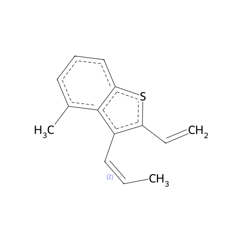 C=Cc1sc2cccc(C)c2c1/C=C\C